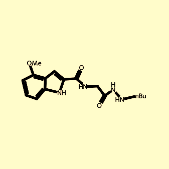 CCCCNNC(=O)CNC(=O)c1cc2c(OC)cccc2[nH]1